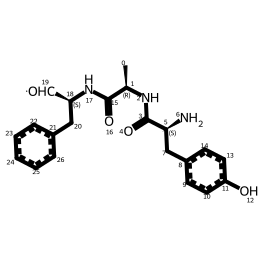 C[C@@H](NC(=O)[C@@H](N)Cc1ccc(O)cc1)C(=O)N[C@H]([C]=O)Cc1ccccc1